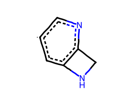 [c]1cnc2c(c1)NC2